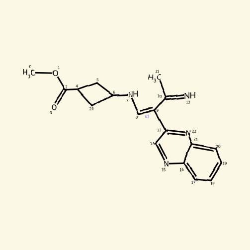 COC(=O)C1CC(N/C=C(\C(C)=N)c2cnc3ccccc3n2)C1